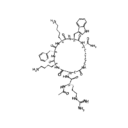 CC(=O)N[C@@H](CCCNC(=N)N)C(=O)N[C@H]1CC(=O)NCCCC[C@@H](C(N)=O)NC(=O)[C@H](Cc2c[nH]c3ccccc23)NC(=O)[C@H](CCCCN)NC(=O)[C@@H](Cc2ccccc2)NC(=O)[C@H](CCCCN)NC1=O